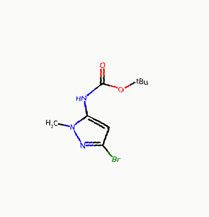 Cn1nc(Br)cc1NC(=O)OC(C)(C)C